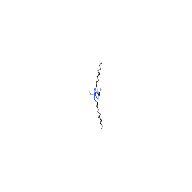 CCCCCCCCCCCn1cc[n+](CCCCCCCCCC)c1CC